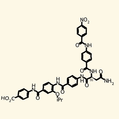 CC(C)Oc1cc(C(=O)Nc2ccc(C(=O)O)cc2)ccc1NC(=O)c1ccc(NC(=O)[C@H](CC(N)=O)NC(=O)c2ccc(NC(=O)c3ccc([N+](=O)[O-])cc3)cc2)cc1